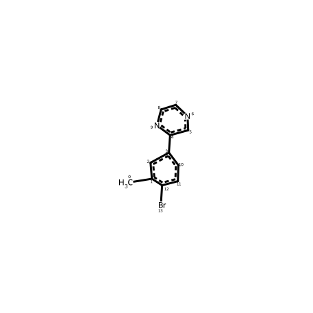 Cc1cc(-c2cnccn2)ccc1Br